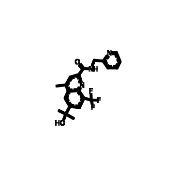 Cc1cc(C(=O)NCc2ccccn2)nc2c(C(F)(F)F)cc(C(C)(C)O)cc12